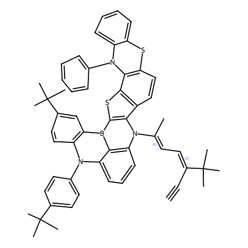 C#C/C(=C\C=C(/C)N1c2cccc3c2B(c2cc(C(C)(C)C)ccc2N3c2ccc(C(C)(C)C)cc2)c2sc3c4c(ccc3c21)Sc1ccccc1N4c1ccccc1)C(C)(C)C